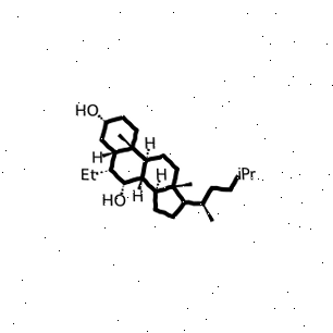 CC[C@H]1[C@@H](O)[C@@H]2[C@H](CC[C@]3(C)C([C@H](C)CCC(C)C)CC[C@@H]23)[C@@]2(C)CC[C@@H](O)C[C@@H]12